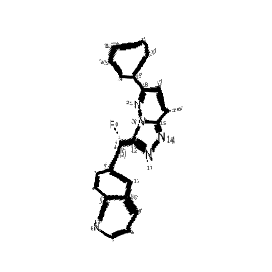 F[C@@H](c1ccc2ncccc2c1)c1nnc2ccc(-c3ccccc3)nn12